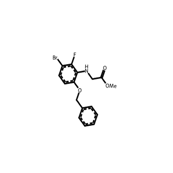 COC(=O)CNc1c(OCc2ccccc2)ccc(Br)c1F